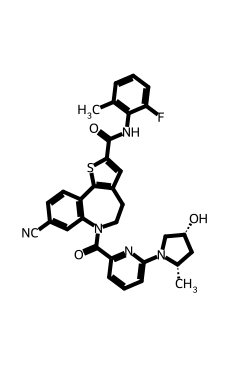 Cc1cccc(F)c1NC(=O)c1cc2c(s1)-c1ccc(C#N)cc1N(C(=O)c1cccc(N3C[C@H](O)C[C@@H]3C)n1)CC2